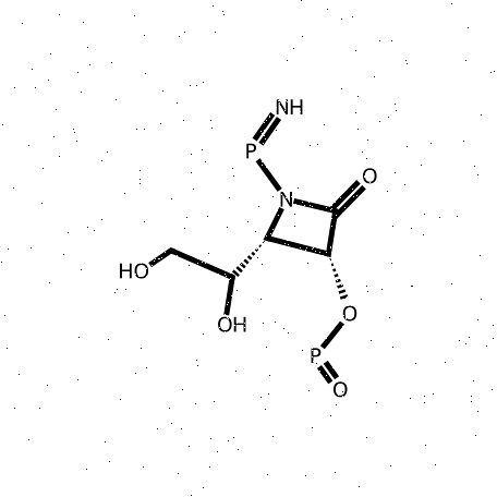 N=PN1C(=O)[C@H](OP=O)[C@@H]1C(O)CO